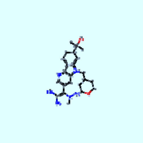 CN(N)C(=C(N)N)c1cnc2c3c(n(CC4CCOCC4)c2c1)=CC(C(C)(C)O)CC=3